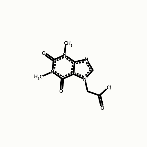 Cn1c(=O)c2c(ncn2CC(=O)Cl)n(C)c1=O